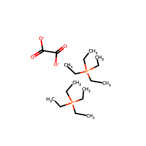 CC[P+](CC)(CC)CC.CC[P+](CC)(CC)CC.O=C([O-])C(=O)[O-]